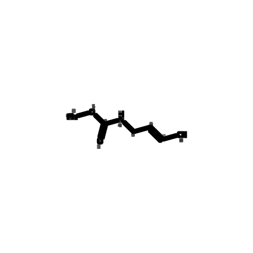 CC(C)(C)OC(=O)NCC=CC#N